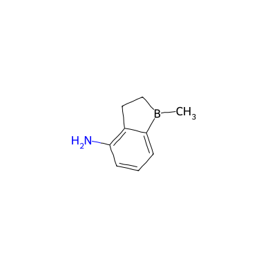 CB1CCc2c(N)cccc21